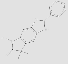 CCCCN1C(=O)C(C)(C)c2cc3c(cc21)NC(c1ccncc1)N3